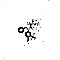 CC(C(=O)N(C)C)N(Cc1ccccc1)c1ccc(C#N)c(C(F)(F)F)c1